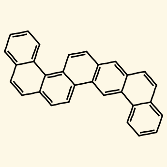 c1ccc2c(c1)ccc1cc3ccc4c(ccc5ccc6ccccc6c54)c3cc12